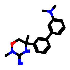 CN1OCC(C)(c2cccc(-c3cccc(N(C)C)c3)c2)NC1=N